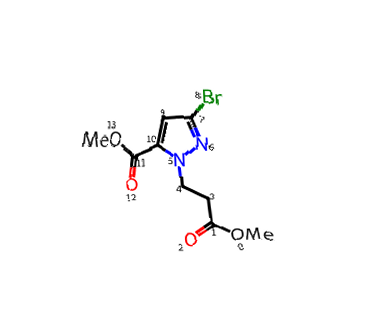 COC(=O)CCn1nc(Br)cc1C(=O)OC